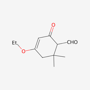 CCOC1=CC(=O)C(C=O)C(C)(C)C1